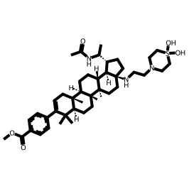 COC(=O)c1ccc(C2=CC[C@]3(C)[C@H]4CC[C@@H]5[C@H]6[C@H](C(C)NC(C)=O)CC[C@]6(NCCN6CCS(O)(O)CC6)CC[C@@]5(C)[C@]4(C)CC[C@H]3C2(C)C)cc1